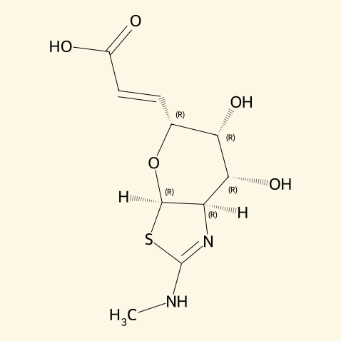 CNC1=N[C@@H]2[C@@H](O)[C@@H](O)[C@@H](C=CC(=O)O)O[C@@H]2S1